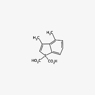 CC1=CS(C(=O)O)(C(=O)O)c2cccc(C)c21